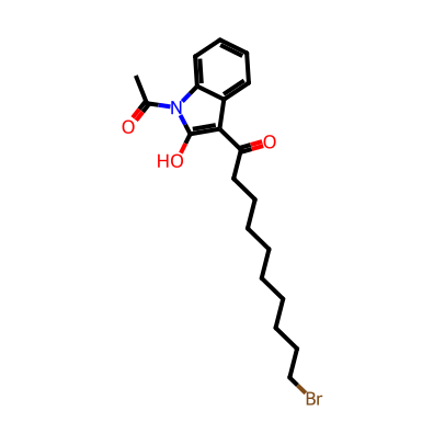 CC(=O)n1c(O)c(C(=O)CCCCCCCCCBr)c2ccccc21